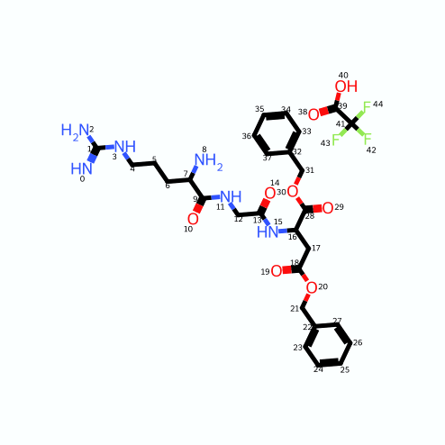 N=C(N)NCCCC(N)C(=O)NCC(=O)NC(CC(=O)OCc1ccccc1)C(=O)OCc1ccccc1.O=C(O)C(F)(F)F